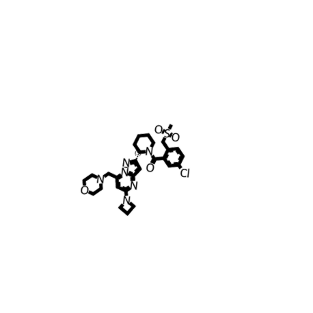 CS(=O)(=O)Cc1ccc(Cl)cc1C(=O)N1CCCC[C@H]1c1cc2nc(N3CCC3)cc(CN3CCOCC3)n2n1